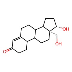 O=C1C=C2CCC3C(CC[C@@]4(CO)C3CC[C@@H]4O)C2CC1